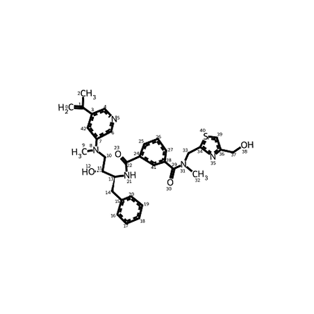 C=C(C)c1cncc(N(C)C[C@@H](O)[C@H](Cc2ccccc2)NC(=O)c2cccc(C(=O)N(C)Cc3nc(CO)cs3)c2)c1